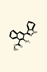 CC(C)(C)OC(=O)c1c(N)c(-c2n[nH]c3ccccc23)cc2ccccc12